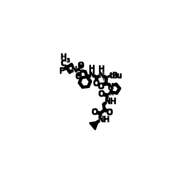 CC1(F)CN(S(=O)(=O)CC2(NC(=O)N[C@H](C(=O)N3CCC[C@H]3C(=O)NCC(=O)C(=O)NC3CC3)C(C)(C)C)CCCCC2)C1